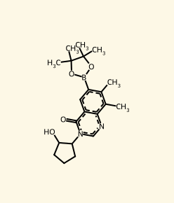 Cc1c(B2OC(C)(C)C(C)(C)O2)cc2c(=O)n(C3CCCC3O)cnc2c1C